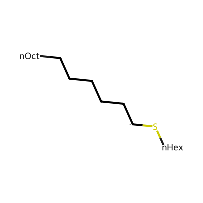 CCCCCCCCCCCCC[CH]SCCCCCC